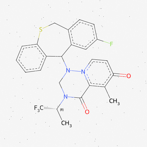 Cc1c2n(ccc1=O)N(C1c3cc(F)ccc3CSc3ccccc31)CN([C@H](C)C(F)(F)F)C2=O